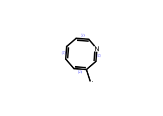 [CH2]C1=C/C=C\C=C/N=C\1